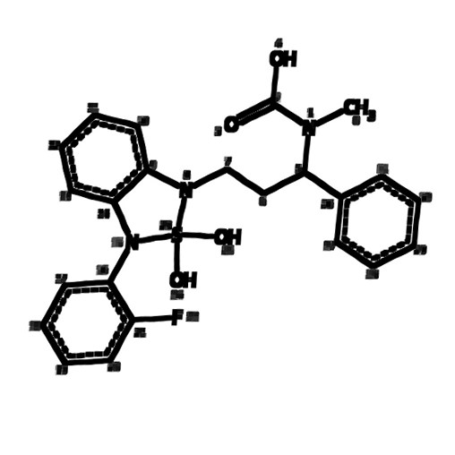 CN(C(=O)O)C(CCN1c2ccccc2N(c2ccccc2F)S1(O)O)c1ccccc1